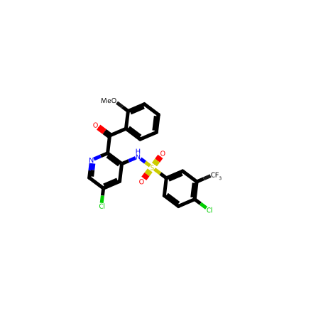 COc1ccccc1C(=O)c1ncc(Cl)cc1NS(=O)(=O)c1ccc(Cl)c(C(F)(F)F)c1